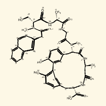 C[C@@H]1NC(=O)[C@@H](N(C)C(=O)CNC(=O)[C@@H](C)NC(=O)[C@@H](CO)N(C)C(=O)Cc2ccc3ccccc3c2)c2ccc(O)c(c2)-c2cc(ccc2O)C[C@@H](C(=O)O)NC1=O